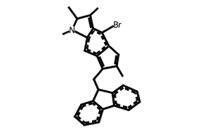 CC1=Cc2c(Br)c3c(cc2=C1CC1c2ccccc2-c2ccccc21)N(C)C(C)C=3C